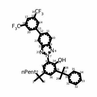 CCCCCC(C)(C)c1cc(-n2nc3ccc(-c4cc(C(F)(F)F)cc(C(F)(F)F)c4)cc3n2)c(O)c(C(C)(C)c2ccccc2)c1